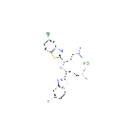 CN(C)CCC(NC(CCN(C)C)c1nc2cc(Cl)ccc2s1)c1nc2cc(Cl)ccc2s1.Cl